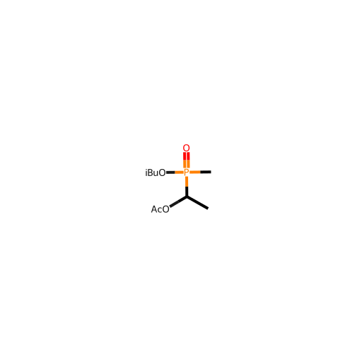 CC(=O)OC(C)P(C)(=O)OCC(C)C